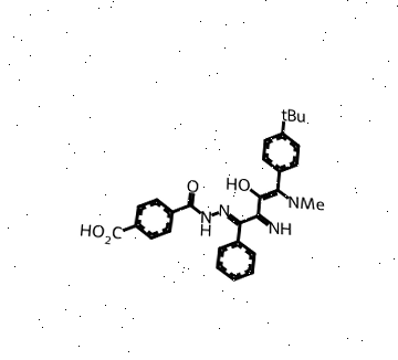 CN/C(=C(/O)C(=N)/C(=N/NC(=O)c1ccc(C(=O)O)cc1)c1ccccc1)c1ccc(C(C)(C)C)cc1